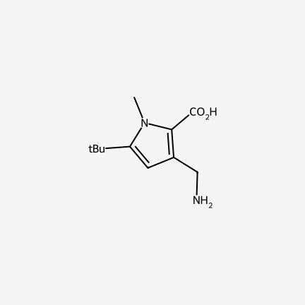 Cn1c(C(C)(C)C)cc(CN)c1C(=O)O